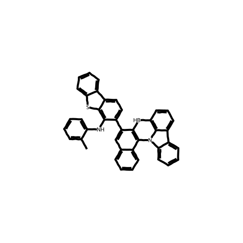 Cc1ccccc1Nc1c(-c2cc3ccccc3c3c2Bc2cccc4c5ccccc5n-3c24)ccc2c1sc1ccccc12